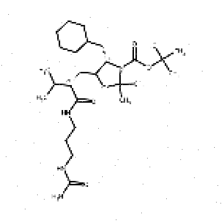 CC(C)[C@H](CC1OC(C)(C)N(C(=O)OC(C)(C)C)[C@H]1CC1CCCCC1)C(=O)NCCCNC(N)=O